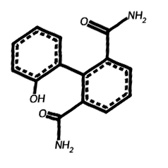 NC(=O)c1cccc(C(N)=O)c1-c1ccccc1O